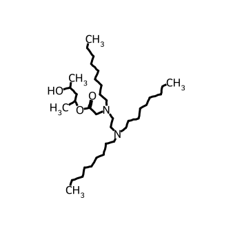 CCCCCCCCCN(CCCCCCCCC)CCN(CCCCCCCCC)CC(=O)OC(C)CC(C)O